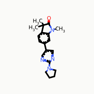 CN1C(=O)C(C)(C)c2ccc(-c3cnc(N4CCCC4)nc3)cc21